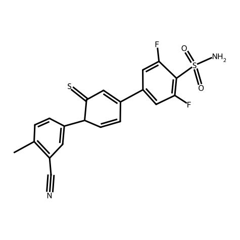 Cc1ccc(C2C=CC(c3cc(F)c(S(N)(=O)=O)c(F)c3)=CC2=S)cc1C#N